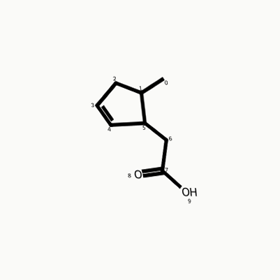 CC1CC=CC1CC(=O)O